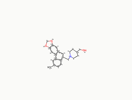 Cc1ccc2c(CN3CCC(CO)CC3)cc3cc4c(cc3c2c1)OCO4